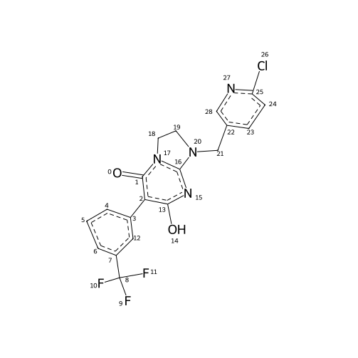 O=c1c(-c2cccc(C(F)(F)F)c2)c(O)nc2n1CCN2Cc1ccc(Cl)nc1